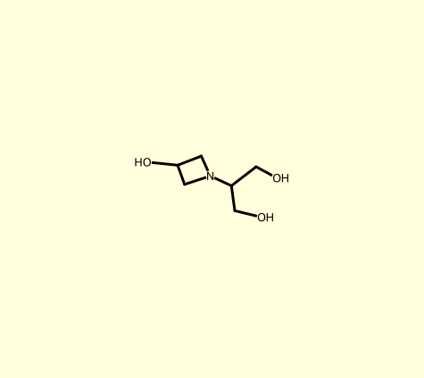 OCC(CO)N1CC(O)C1